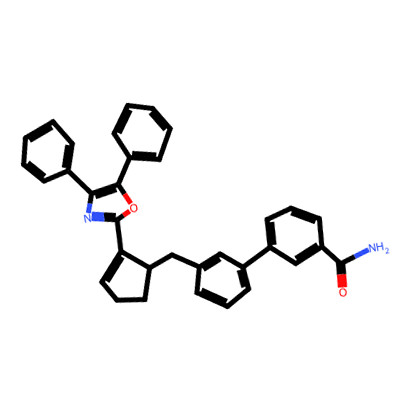 NC(=O)c1cccc(-c2cccc(CC3CCC=C3c3nc(-c4ccccc4)c(-c4ccccc4)o3)c2)c1